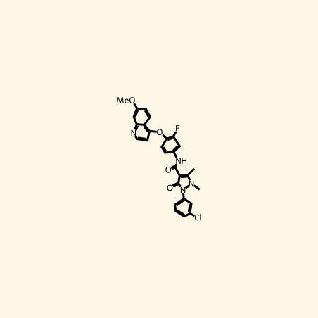 COc1ccc2c(Oc3ccc(NC(=O)c4c(C)n(C)n(-c5cccc(Cl)c5)c4=O)cc3F)ccnc2c1